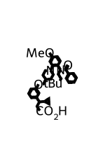 COc1ccc(N(CCC(C)(C)C)C(=O)c2ccccc2)c(N2CCC(COc3cccc(C(CC(=O)O)C4CC4)c3)CC2)c1